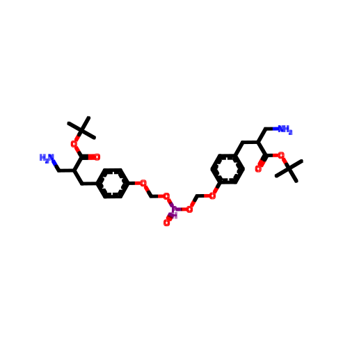 CC(C)(C)OC(=O)C(CN)Cc1ccc(OCO[PH](=O)OCOc2ccc(CC(CN)C(=O)OC(C)(C)C)cc2)cc1